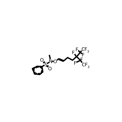 CN(OC=CCCC(F)(C(F)(F)C(F)(F)F)C(F)(F)C(F)(F)F)S(=O)(=O)c1ccccc1